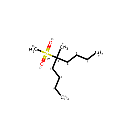 CCCCC(C)(CCCC)S(C)(=O)=O